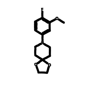 COc1cc(N2CCC3(CC2)OCCO3)ccc1F